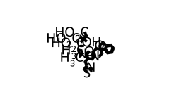 CN(C)C(=O)C(Cc1cscn1)CN1CCC2(CC1)OCc1ccccc12.O=C(O)CC(O)(CC(=O)O)C(=O)O